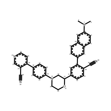 CN(C)c1ccc2cc(-c3cc(C4CN(c5ccc(-c6ccncc6C#N)cc5)CCO4)ccc3C#N)ccc2c1